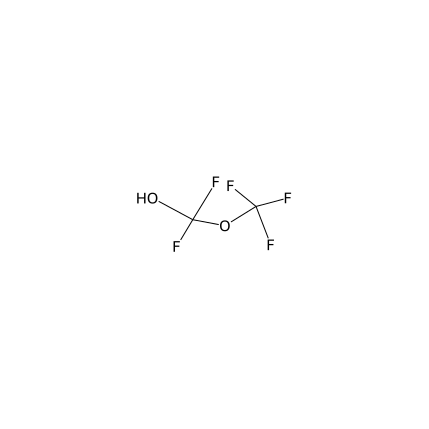 OC(F)(F)OC(F)(F)F